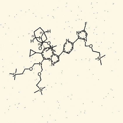 CC(C)(C)OC(=O)N1[C@@H]2CC[C@H]1C[C@@H](c1nc3c(-c4ccc(-c5nc(F)cn5COCC[Si](C)(C)C)nc4)cnn3c(N(COCC[Si](C)(C)C)COCC[Si](C)(C)C)c1C1CC1)C2